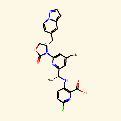 Cc1cc([C@@H](C)Nc2ccc(Cl)nc2C(=O)O)nc(N2C(=O)OC[C@@H]2Cc2ccn3nccc3c2)c1